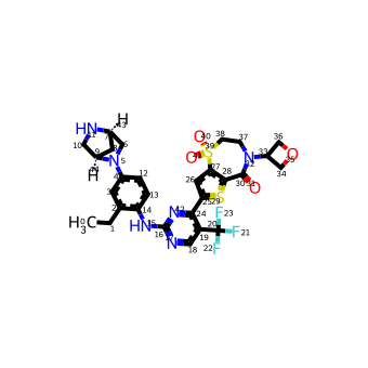 CCc1cc(N2C[C@H]3C[C@@H]2CN3)ccc1Nc1ncc(C(F)(F)F)c(-c2cc3c(s2)C(=O)N(C2COC2)CCS3(=O)=O)n1